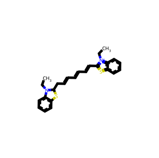 CCN1c2ccccc2SC1C/C=C/C=C/C=C/c1sc2ccccc2[n+]1CC